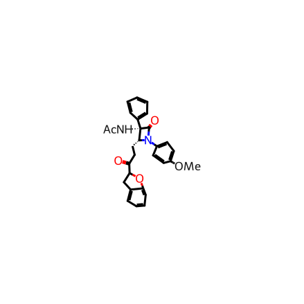 COc1ccc(N2C(=O)[C@](NC(C)=O)(c3ccccc3)[C@H]2CCC(=O)C2Cc3ccccc3O2)cc1